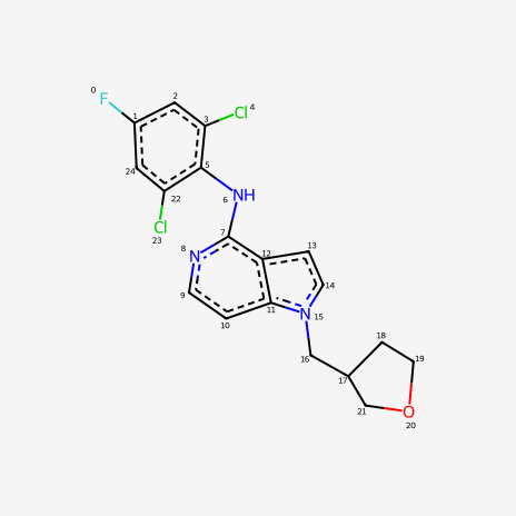 Fc1cc(Cl)c(Nc2nccc3c2ccn3CC2CCOC2)c(Cl)c1